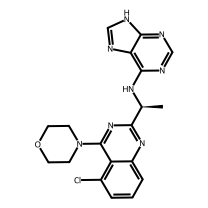 C[C@H](Nc1ncnc2[nH]cnc12)c1nc(N2CCOCC2)c2c(Cl)cccc2n1